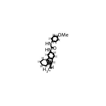 COc1ccc(NC(=O)Nc2ccc3c(c2)[C@@]24CCCC[C@H]2[C@@H](C3)N(C)CC4)cc1